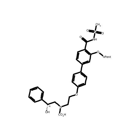 CCCCCOc1cc(-c2ccc(OCCN(C[C@H](O)c3ccccc3)C(=O)O)cc2)ccc1C(=O)NS(C)(=O)=O